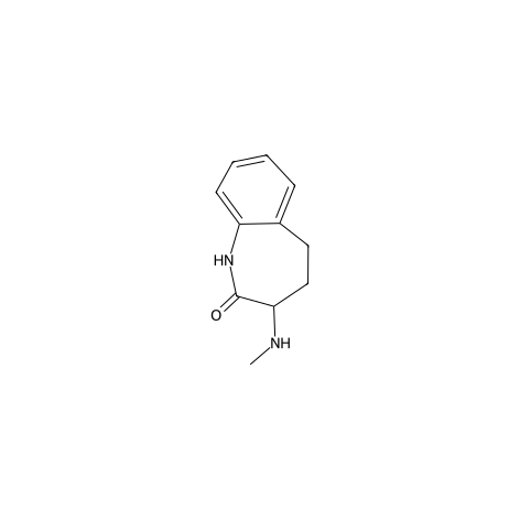 CNC1CCc2ccccc2NC1=O